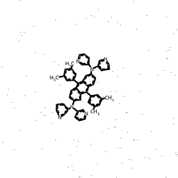 Cc1cc(C)cc(-c2c3ccc(N(c4cccnc4)c4cccnc4)cc3c(-c3cc(C)cc(C)c3)c3ccc(N(c4cccnc4)c4cccnc4)cc23)c1